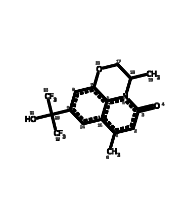 Cc1cc(=O)n2c3c(cc(C(O)(C(F)(F)F)C(F)(F)F)cc13)OCC2C